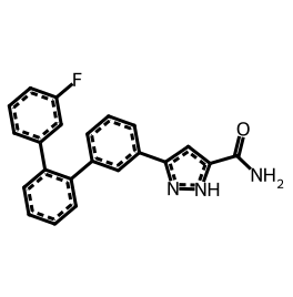 NC(=O)c1cc(-c2cccc(-c3ccccc3-c3cccc(F)c3)c2)n[nH]1